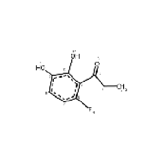 CCC(=O)c1c(F)ccc(O)c1O